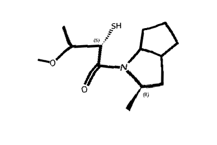 COC(C)[C@H](S)C(=O)N1C2CCCC2C[C@H]1C